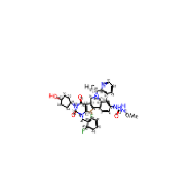 CONC(=O)Nc1ccc(-c2sc3c(c2CN(C)[C@H](C)c2ccccn2)c(=O)n(C2CCC(O)CC2)c(=O)n3Cc2c(F)cccc2F)cc1